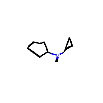 CN(C1CCCC1)C1CC1